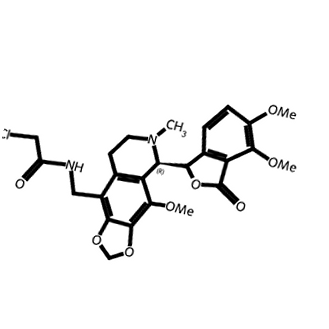 COc1ccc2c(c1OC)C(=O)OC2[C@H]1c2c(c(CNC(=O)CCl)c3c(c2OC)OCO3)CCN1C